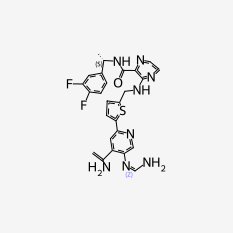 C=C(N)c1cc(-c2ccc(CNc3nccnc3C(=O)N[C@@H](C)c3ccc(F)c(F)c3)s2)ncc1/N=C\N